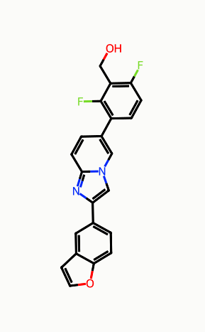 OCc1c(F)ccc(-c2ccc3nc(-c4ccc5occc5c4)cn3c2)c1F